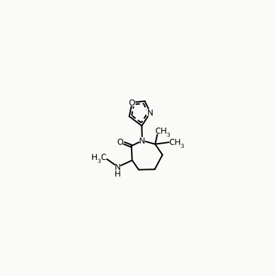 CNC1CCCC(C)(C)N(c2cocn2)C1=O